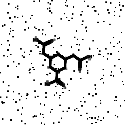 O=C(O)CC1CC(CC(=O)O)CC(C(=O)O)C1